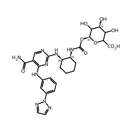 NC(=O)c1cnc(N[C@@H]2CCCC[C@@H]2NC(=O)O[C@@H]2OC(C(=O)O)C(O)[C@H](O)C2O)nc1Nc1cccc(-n2nccn2)c1